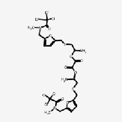 CN(Cc1ccc(CSCC(N)OC(=O)C(=O)OC(N)CSCc2ccc(CN(C)C(=O)C(Cl)(Cl)Cl)o2)o1)C(=O)C(Cl)(Cl)Cl